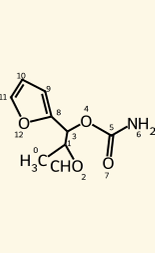 CC(C=O)C(OC(N)=O)c1ccco1